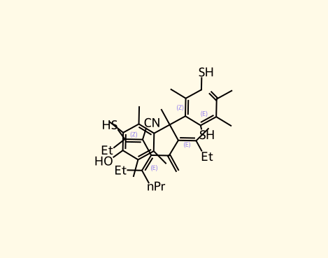 C=C(C)/C(C)=C(S)\C(=C(\C)CS)C(C)(/C(C(=C)C(/C(C#N)=C(/S)CC)=C(/CC)CCC)=C(\C)CC)c1c(C)c(C)c(O)c(C)c1C